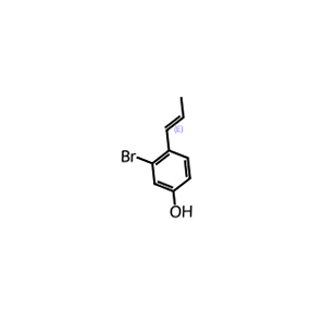 C/C=C/c1ccc(O)cc1Br